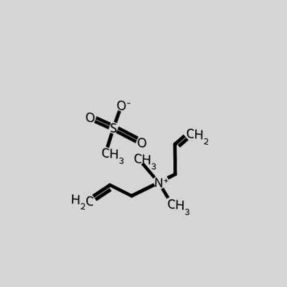 C=CC[N+](C)(C)CC=C.CS(=O)(=O)[O-]